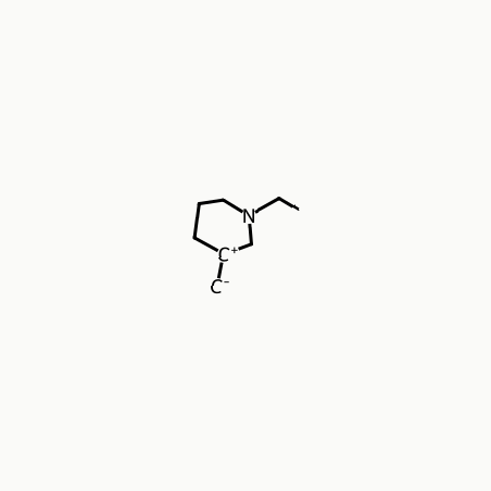 [CH2-][C+]1CCCN(CC)C1